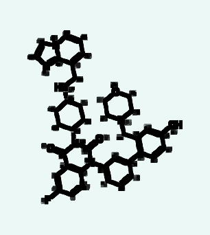 O=c1c2cc(F)cnc2n(-c2cccc(-c3ccc(O)cc3CN3CCOCC3)c2)c(=O)n1[C@H]1CC[C@@H](NCc2cccn3ccnc23)CC1